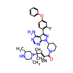 C[C@@H]1CN[C@@H](C)CN1C(C)(C)C=C(C#N)C(=O)N1CCC[C@H](n2nc(-c3ccc(Oc4ccccc4)cc3F)c3c(N)ncnc32)C1